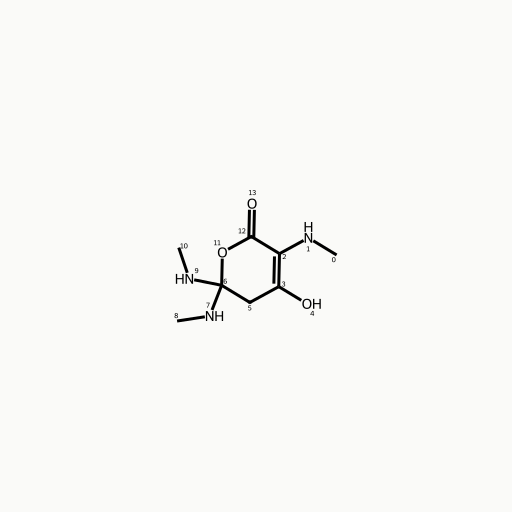 CNC1=C(O)CC(NC)(NC)OC1=O